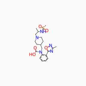 Cc1noc(-c2ccccc2N(CC2CCN(CC(C)NS(C)(=O)=O)CC2)C(=O)O)n1